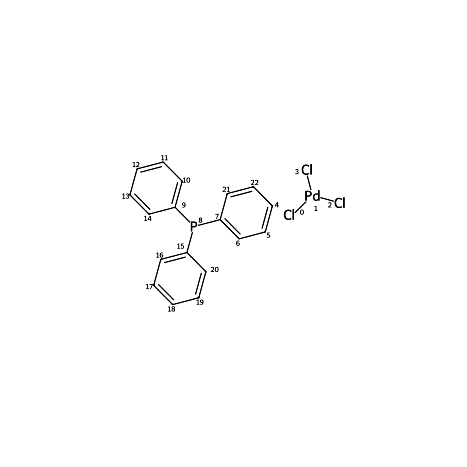 [Cl][Pd]([Cl])[Cl].c1ccc(P(c2ccccc2)c2ccccc2)cc1